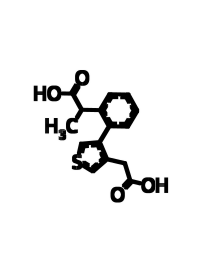 CC(C(=O)O)c1ccccc1-c1cscc1CC(=O)O